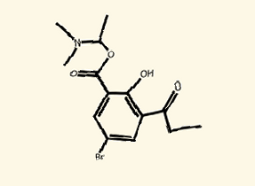 CCC(=O)c1cc(Br)cc(C(=O)OC(C)N(C)C)c1O